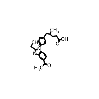 CCc1nc2cc(C(C)=O)ccc2n1-c1ccc(CC(C)CCC(=O)O)cc1